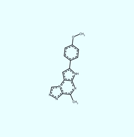 COc1ccc(-c2cc3c(nc(C)c4nncn43)[nH]2)cc1